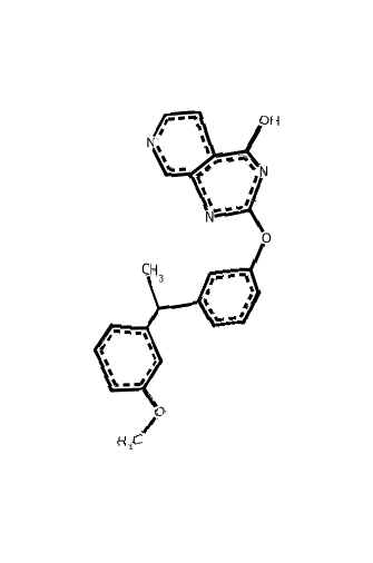 COc1cccc(C(C)c2cccc(Oc3nc(O)c4ccncc4n3)c2)c1